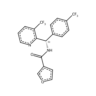 O=C(N[C@@H](c1ccc(C(F)(F)F)cc1)c1ncccc1C(F)(F)F)c1ccoc1